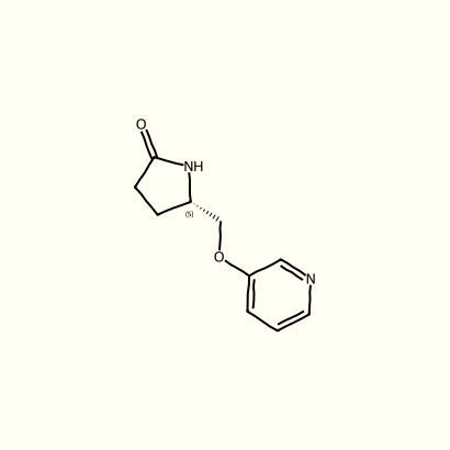 O=C1CC[C@@H](COc2cccnc2)N1